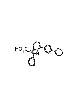 O=C(O)Cn1c(-c2ccccc2)nc2c(-c3ccc(C4=CCCCC4)cc3)cccc21